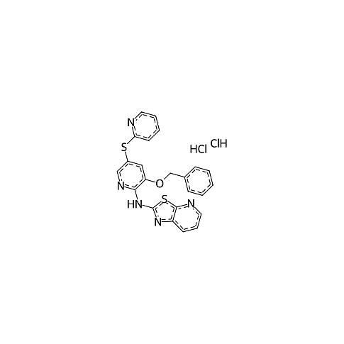 Cl.Cl.c1ccc(COc2cc(Sc3ccccn3)cnc2Nc2nc3cccnc3s2)cc1